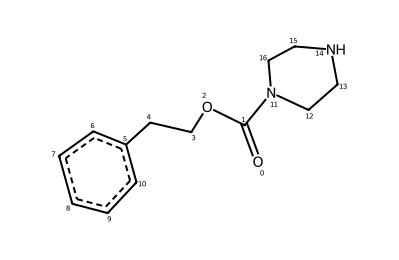 O=C(OCCc1ccccc1)N1CCNCC1